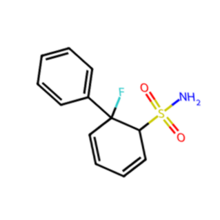 NS(=O)(=O)C1C=CC=CC1(F)c1ccccc1